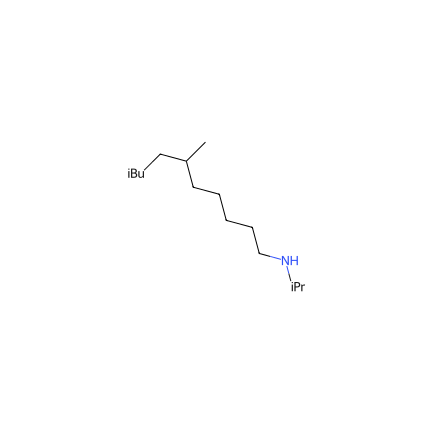 CCC(C)CC(C)CCCCCNC(C)C